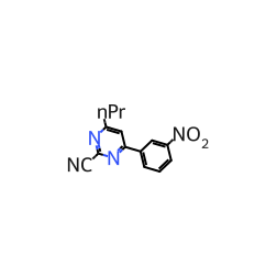 CCCc1cc(-c2cccc([N+](=O)[O-])c2)nc(C#N)n1